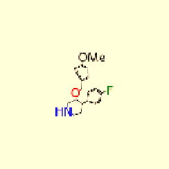 COc1ccc(COC2CNCCC2c2ccc(F)cc2)cc1